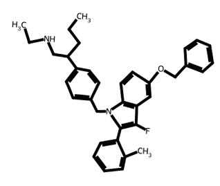 CCCC(CNCC)c1ccc(Cn2c(-c3ccccc3C)c(F)c3cc(OCc4ccccc4)ccc32)cc1